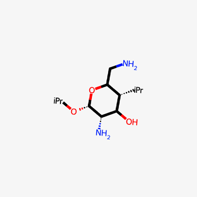 CC(C)O[C@@H]1OC(CN)[C@H](C(C)C)C(O)[C@@H]1N